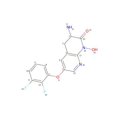 NC1Cc2cc(Oc3cccc(F)c3F)cnc2N(O)C1=O